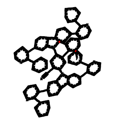 N#Cc1cc(-n2c3cc(-c4cccnc4-c4ccccc4)ccc3c3ccc(-c4cccnc4-c4ccccc4)cc32)c(-c2c(F)cccc2F)cc1-n1c2cc(-c3cccnc3-c3ccccc3)ccc2c2ccc(-c3cccnc3-c3ccccc3)cc21